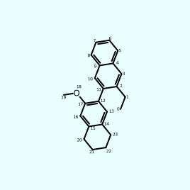 CCc1cc2ccccc2cc1-c1cc2c(cc1OC)CCCC2